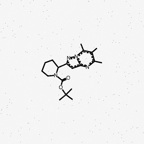 Cc1nc2cc(C3CCCCN3C(=O)OC(C)(C)C)nn2c(C)c1C